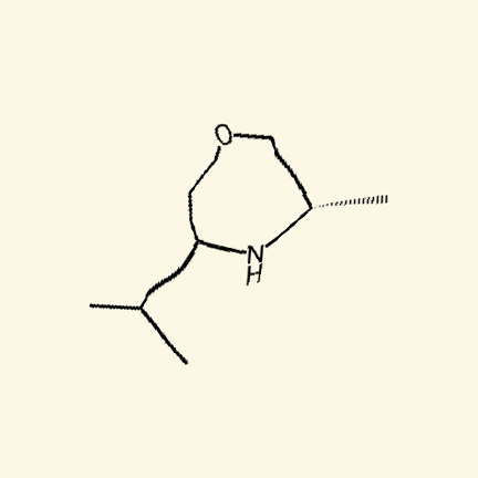 CC(C)C1COC[C@H](C)N1